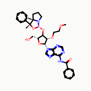 COCCO[C@H]1C(O[P@@]2O[C@](C)(c3ccccc3)[C@@H]3CCCN32)[C@@H](CO)O[C@H]1n1cnc2c(NC(=O)c3ccccc3)ncnc21